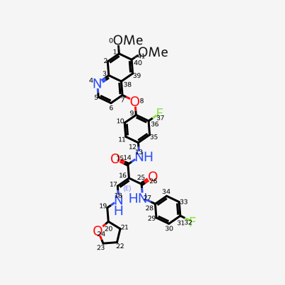 COc1cc2nccc(Oc3ccc(NC(=O)/C(=C/NCC4CCCO4)C(=O)Nc4ccc(F)cc4)cc3F)c2cc1OC